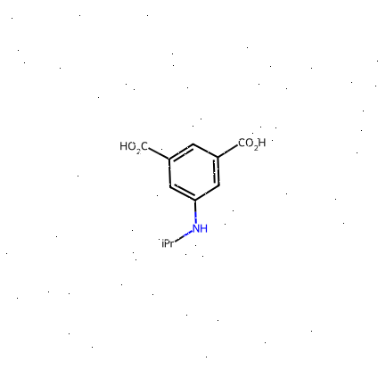 CC(C)Nc1cc(C(=O)O)cc(C(=O)O)c1